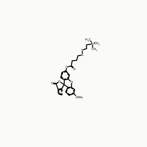 COc1ccc2c(c1)Oc1cc(OC(=O)CCCSSCC[N+](C)(C)C)ccc1C21OC(=O)c2ccccc21